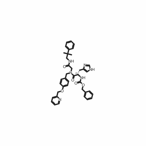 CC(C)(CNC(=O)CN(Cc1ccc(OCc2ccccn2)cc1)C(=O)[C@H](Cc1c[nH]cn1)NC(=O)OCc1ccccc1)c1ccccc1